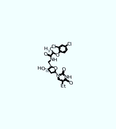 CCc1cn([C@H]2C[C@H](O)[C@@H](CNC(=O)[C@@H](C)Oc3ccc(Cl)cc3Cl)O2)c(=O)[nH]c1=O